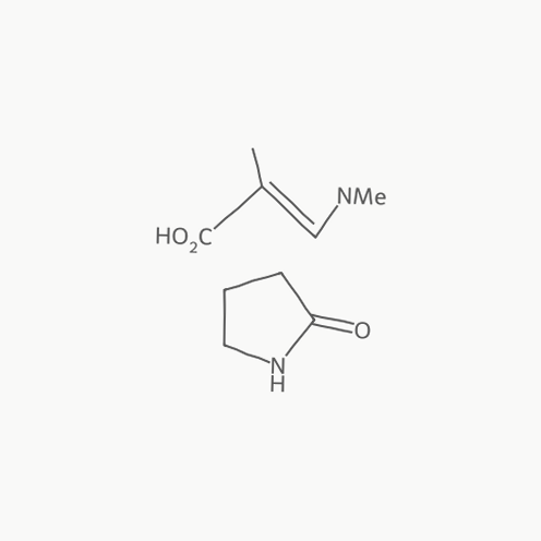 CNC=C(C)C(=O)O.O=C1CCCN1